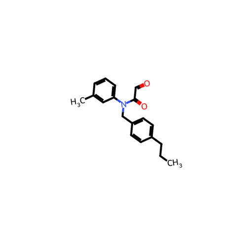 CCCc1ccc(CN(C(=O)C=O)c2cccc(C)c2)cc1